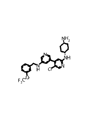 N[C@H]1CC[C@H](Nc2cc(-c3cncc(NCc4cccc(OC(F)(F)F)c4)c3)c(Cl)cn2)CC1